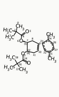 CC(C)(C)C(=O)O[C@H]1CC=CC[C@H]1OC(=O)C(C)(C)C.Cc1ccc(C)cc1